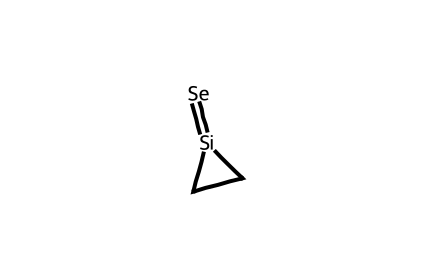 [Se]=[Si]1CC1